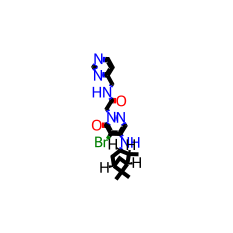 C[C@@H]1[C@H]2C[C@@H](C[C@H]1Nc1cnn(CC(=O)NCc3ccncn3)c(=O)c1Br)C2(C)C